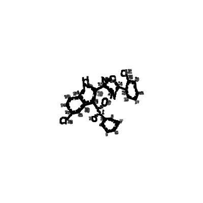 O=S(=O)(c1ccccc1)c1c(-c2noc(-c3ccccc3Cl)n2)[nH]c2ccc(Cl)cc12